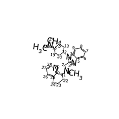 CN(Cc1nc2ccccc2n1[C@H]1CC[C@H](N(C)C)CC1)C1CCCc2cccnc21